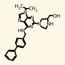 CC(C)n1cnc2c(NCc3ccc(-c4ccccc4)cc3)nc(N3CCNC(CO)C3)nc21